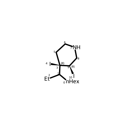 CCCCCCC(CC)[C@]1(I)CCNC[C@H]1I